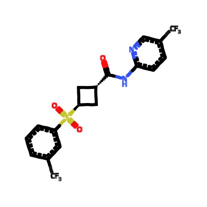 O=C(Nc1ccc(C(F)(F)F)cn1)[C@H]1C[C@H](S(=O)(=O)c2cccc(C(F)(F)F)c2)C1